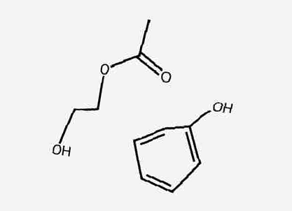 CC(=O)OCCO.Oc1ccccc1